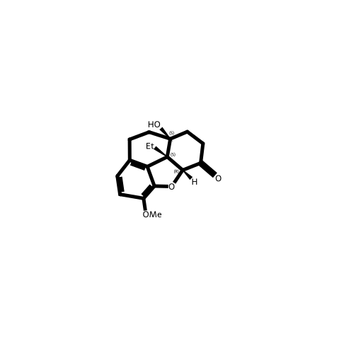 CC[C@]12c3c4ccc(OC)c3O[C@H]1C(=O)CC[C@@]2(O)CC4